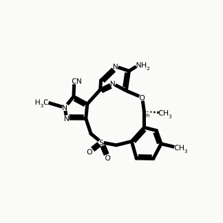 Cc1ccc2c(c1)[C@@H](C)Oc1nc(cnc1N)-c1c(nn(C)c1C#N)CS(=O)(=O)C2